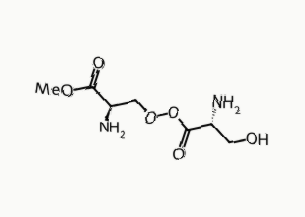 COC(=O)[C@H](N)COOC(=O)[C@H](N)CO